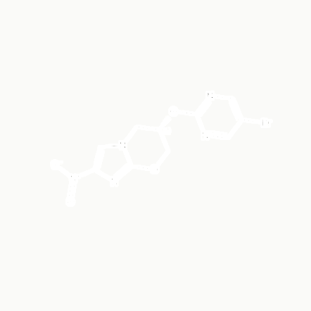 O=[N+]([O-])c1cn2c(n1)OC[C@@H](Oc1ncc(Br)cn1)C2